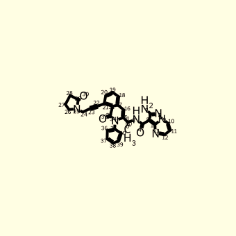 C[C@@H](NC(=O)c1c(N)nn2cccnc12)c1cc2cccc(C#CCN3CCCC3=O)c2c(=O)n1-c1ccccc1